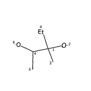 CCC(C)([O])C(C)[O]